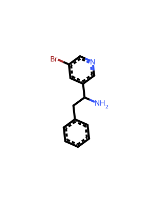 NC(Cc1ccccc1)c1cncc(Br)c1